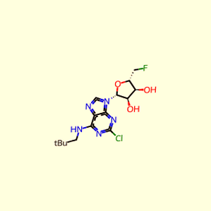 CC(C)(C)CNc1nc(Cl)nc2c1ncn2[C@@H]1O[C@H](CF)[C@@H](O)[C@H]1O